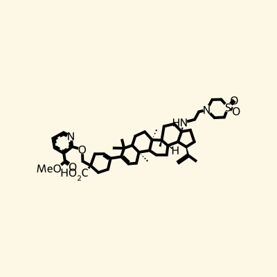 C=C(C)[C@@H]1CC[C@]2(NCCN3CCS(=O)(=O)CC3)CC[C@]3(C)[C@H](CCC4[C@@]5(C)CC=C(C6=CC[C@](COc7ncccc7C(=O)OC)(C(=O)O)CC6)C(C)(C)C5CC[C@]43C)C12